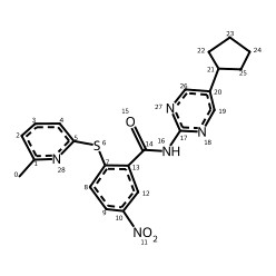 Cc1cccc(Sc2ccc([N+](=O)[O-])cc2C(=O)Nc2ncc(C3CCCC3)cn2)n1